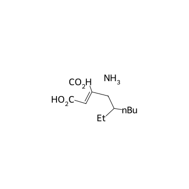 CCCCC(CC)C/C(=C/C(=O)O)C(=O)O.N